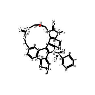 Cn1cc(-c2c3c4c(ncc5c4n(c(=O)n5C)C4CC(C4)NC(=O)OCc4cccc-3c4)n2S(=O)(=O)c2ccccc2)c(F)n1